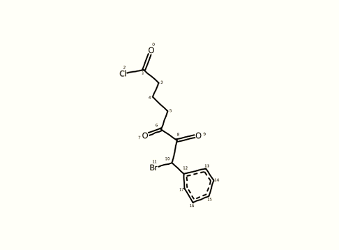 O=C(Cl)CCCC(=O)C(=O)C(Br)c1ccccc1